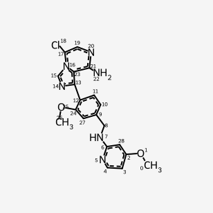 COc1ccnc(NCc2ccc(-c3ncn4c(Cl)cnc(N)c34)c(OC)c2)c1